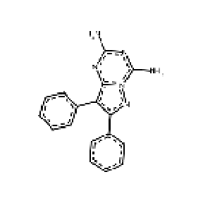 Nc1nc(N)n2nc(-c3ccccc3)c(-c3ccccc3)c2n1